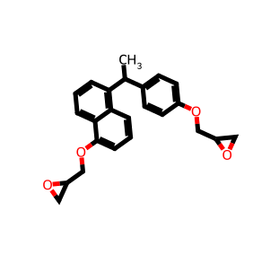 CC(c1ccc(OCC2CO2)cc1)c1cccc2c(OCC3CO3)cccc12